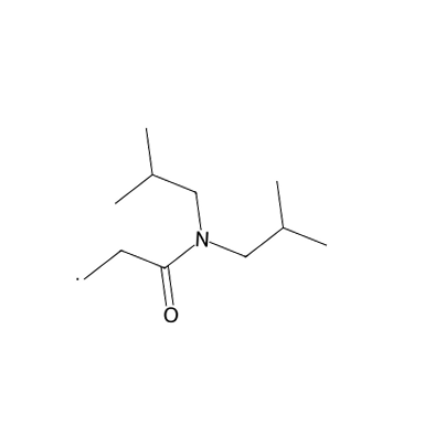 [CH2]CC(=O)N(CC(C)C)CC(C)C